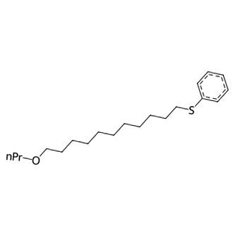 CCCOCCCCCCCCCCCSc1ccccc1